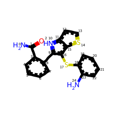 NC(=O)c1ccccc1-c1[nH]c2ccsc2c1Sc1ccccc1N